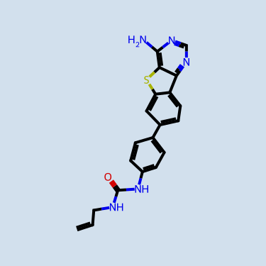 C=CCNC(=O)Nc1ccc(-c2ccc3c(c2)sc2c(N)ncnc23)cc1